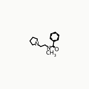 CN(CCN1CCCC1)C(=O)c1ccccc1